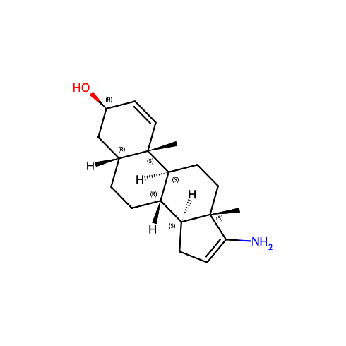 C[C@]12C=C[C@H](O)C[C@H]1CC[C@@H]1[C@@H]2CC[C@]2(C)C(N)=CC[C@@H]12